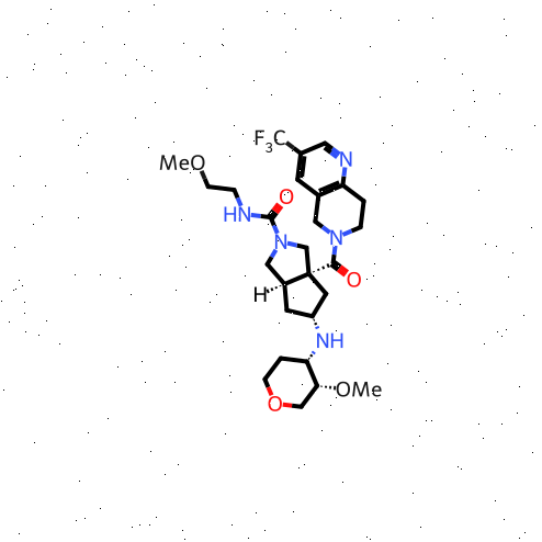 COCCNC(=O)N1C[C@@H]2C[C@@H](N[C@H]3CCOC[C@H]3OC)C[C@]2(C(=O)N2CCc3ncc(C(F)(F)F)cc3C2)C1